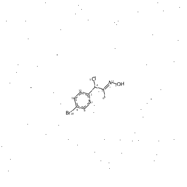 C/C(=N\O)C(Cl)c1ccc(Br)cc1